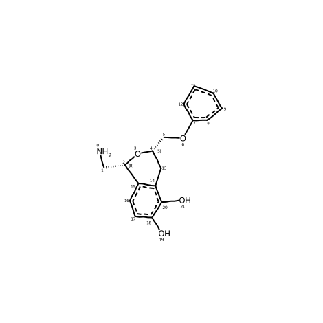 NC[C@@H]1O[C@H](COc2ccccc2)Cc2c1ccc(O)c2O